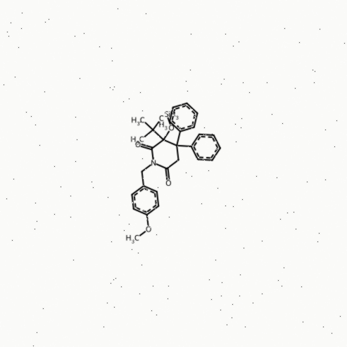 COc1ccc(CN2C(=O)CC(c3ccccc3)(c3ccccc3)C(O[SiH3])(C(C)(C)C)C2=O)cc1